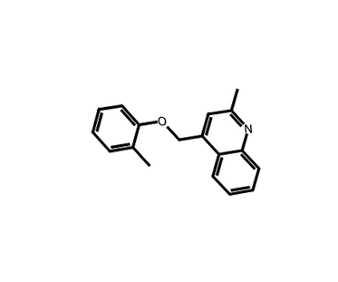 Cc1cc(COc2ccccc2C)c2ccccc2n1